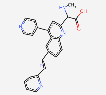 CNC(C(=O)O)c1cc(-c2ccncc2)c2cc(/C=C/c3ccccn3)ccc2n1